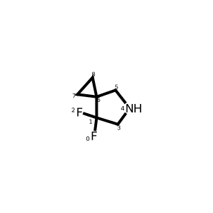 FC1(F)CNCC12CC2